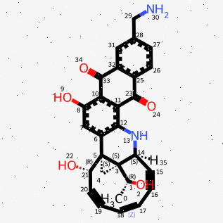 C[C@@H](O)[C@@]12C[C@]13c1cc(O)c4c(c1N[C@H]2C#C/C=C\C#C[C@@H]3O)C(=O)c1ccc(CN)cc1C4=O